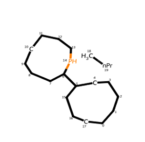 C1CCCCC(C2CCCCCCCP2)CCC1.CCCC